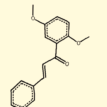 COc1ccc(OC)c(C(=O)/C=C/c2ccccc2)c1